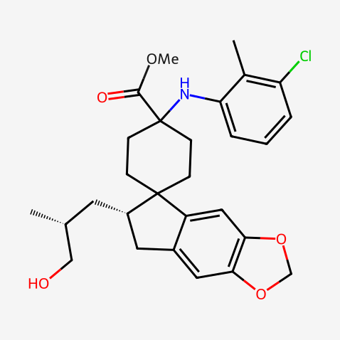 COC(=O)C1(Nc2cccc(Cl)c2C)CCC2(CC1)c1cc3c(cc1C[C@@H]2C[C@@H](C)CO)OCO3